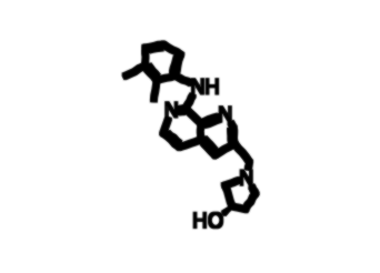 Cc1cccc(Nc2nccc3cc(CN4CC[C@@H](O)C4)cnc23)c1C